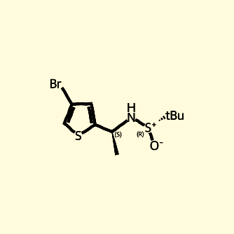 C[C@H](N[S@@+]([O-])C(C)(C)C)c1cc(Br)cs1